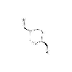 BrC[C@H]1CC[C@@H](CBr)CC1